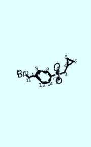 O=S(=O)(CC1CC1)c1ccc(CBr)cc1